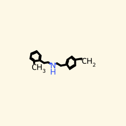 C=Cc1ccc(CCNCCc2ccccc2C)cc1